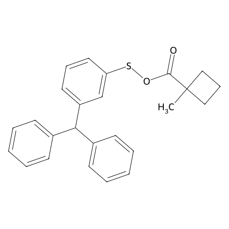 CC1(C(=O)OSc2cccc(C(c3ccccc3)c3ccccc3)c2)CCC1